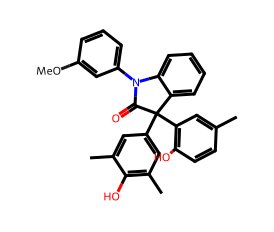 COc1cccc(N2C(=O)C(c3cc(C)c(O)c(C)c3)(c3cc(C)ccc3O)c3ccccc32)c1